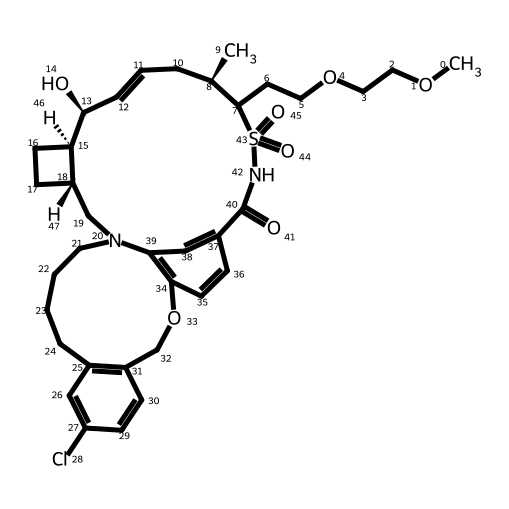 COCCOCCC1[C@H](C)C/C=C/[C@H](O)[C@@H]2CC[C@H]2CN2CCCCc3cc(Cl)ccc3COc3ccc(cc32)C(=O)NS1(=O)=O